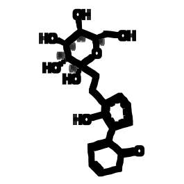 O=C1CC=CC=C1c1cccc(CC[C@]2(O)O[C@H](CO)[C@H](O)[C@H](O)[C@H]2O)c1O